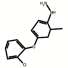 CC1CC(Oc2ccccc2Cl)=CC=C1NN